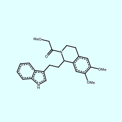 COCC(=O)N1CCc2cc(OC)c(OC)cc2C1CCc1c[nH]c2ccccc12